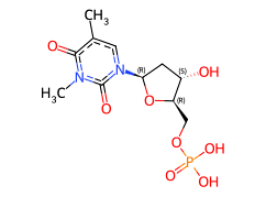 Cc1cn([C@H]2C[C@H](O)[C@@H](COP(=O)(O)O)O2)c(=O)n(C)c1=O